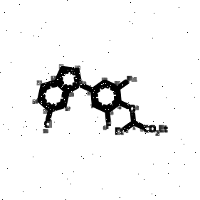 CCOC(=O)C(CC)Oc1c(F)cc(-n2ccc3ccc(Cl)cc32)cc1F